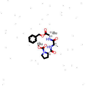 CC[C@H](C)[C@H](NC(=O)[C@H](C)NC(=O)[C@@H]1CCCN1C(=O)OC(C)(C)C)C(=O)OCc1ccccc1